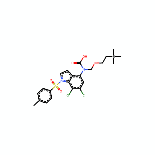 Cc1ccc(S(=O)(=O)n2ccc3c(N(COCC[Si](C)(C)C)C(=O)O)cc(Cl)c(Cl)c32)cc1